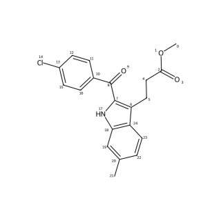 COC(=O)CCc1c(C(=O)c2ccc(Cl)cc2)[nH]c2cc(C)ccc12